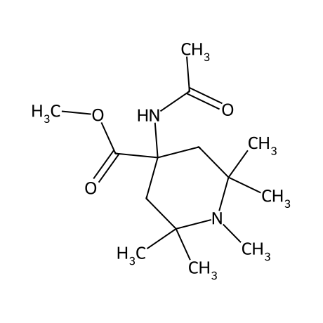 COC(=O)C1(NC(C)=O)CC(C)(C)N(C)C(C)(C)C1